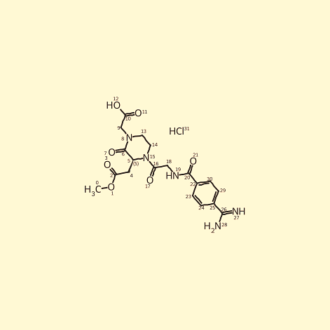 COC(=O)C[C@H]1C(=O)N(CC(=O)O)CCN1C(=O)CNC(=O)c1ccc(C(=N)N)cc1.Cl